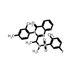 Cc1ccc(-n2c(C(C)N(C)S(=O)(=O)c3cc(F)ccc3C)nc3ccccc3c2=O)c(C)c1